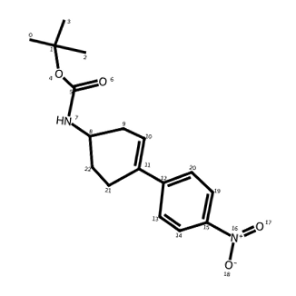 CC(C)(C)OC(=O)NC1CC=C(c2ccc([N+](=O)[O-])cc2)CC1